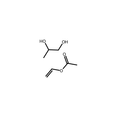 C=COC(C)=O.CC(O)CO